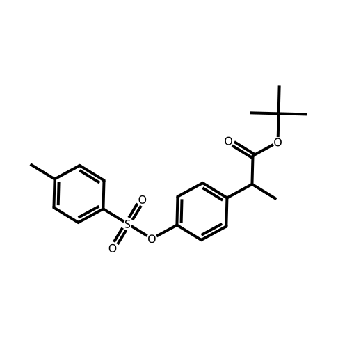 Cc1ccc(S(=O)(=O)Oc2ccc(C(C)C(=O)OC(C)(C)C)cc2)cc1